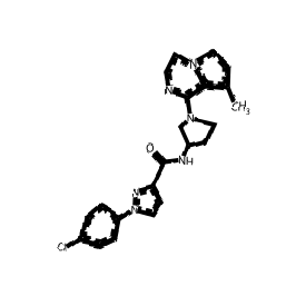 Cc1ccn2ccnc(N3CCC(NC(=O)c4ccn(-c5ccc(Cl)cc5)n4)C3)c12